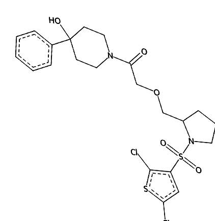 O=C(COCC1CCCN1S(=O)(=O)c1cc(Cl)sc1Cl)N1CCC(O)(c2ccccc2)CC1